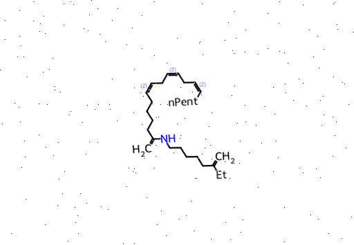 C=C(CC)CCCCCNC(=C)CCCC/C=C\C/C=C\C/C=C\CCCCC